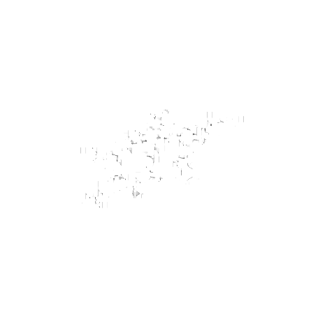 CC(C)C[C@H](NC(=O)[C@H](CCCNC(=N)N)NC(=O)[C@H](CCC(N)=O)NC(=O)[C@@H]1CCC(=O)N1)C(=O)NCC(=O)N[C@@H](CC(N)=O)C(=O)N[C@@H](CCC(N)=O)C(=O)N[C@@H](Cc1c[nH]c2ccccc12)C(=O)N[C@@H](C)C(=O)N[C@H](C(=O)O)C(C)C